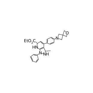 CCOC(=O)C1C=C(c2ccc(N3CC4(COC4)C3)cc2)C2=C(N1)N(c1ccccc1)NC2C